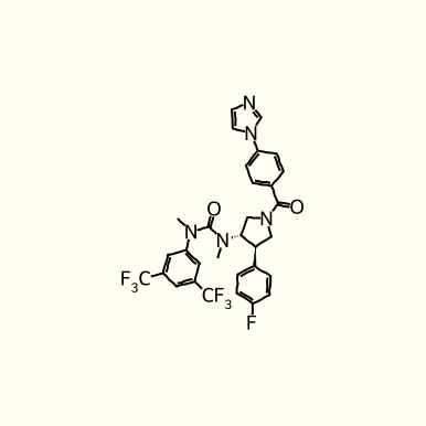 CN(C(=O)N(C)[C@@H]1CN(C(=O)c2ccc(-n3ccnc3)cc2)C[C@H]1c1ccc(F)cc1)c1cc(C(F)(F)F)cc(C(F)(F)F)c1